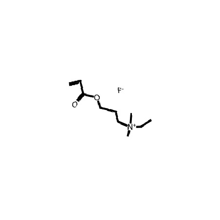 C=CC(=O)OCCC[N+](C)(C)CC.[F-]